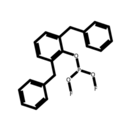 FOP(OF)Oc1c(Cc2ccccc2)cccc1Cc1ccccc1